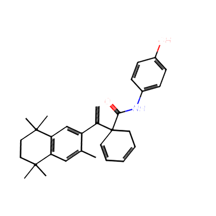 C=C(c1cc2c(cc1C)C(C)(C)CCC2(C)C)C1(C(=O)Nc2ccc(O)cc2)C=CC=CC1